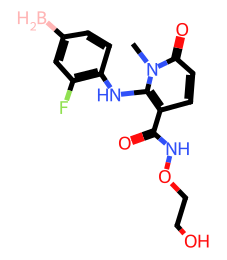 Bc1ccc(Nc2c(C(=O)NOCCO)ccc(=O)n2C)c(F)c1